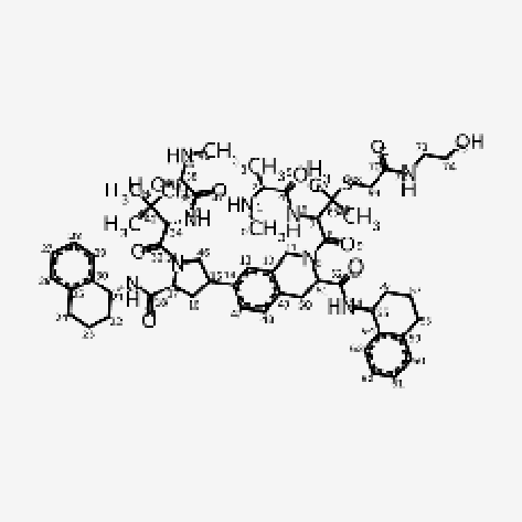 CN[C@@H](C)C(=O)NC(C(=O)N1Cc2cc(C3C[C@@H](C(=O)N[C@@H]4CCCc5ccccc54)N(C(=O)[C@@H](NC(=O)[C@H](C)NC)C(C)(C)C)C3)ccc2CC1C(=O)NC1CCCc2ccccc21)C(C)(C)SCC(=O)NCCO